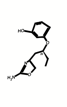 CC[C@@H](CC1COC(N)=N1)Oc1cccc(O)c1